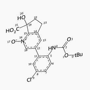 CC(C)(C)OC(=O)Nc1ccc(Cl)cc1-c1cc2c([n+]([O-])c1)C(O)(C(=O)O)CC2